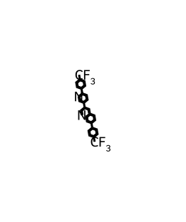 FC(F)(F)c1ccc(-c2ccc3cc(-c4ccc(-c5ccc(C(F)(F)F)cc5)nc4)cnc3c2)cc1